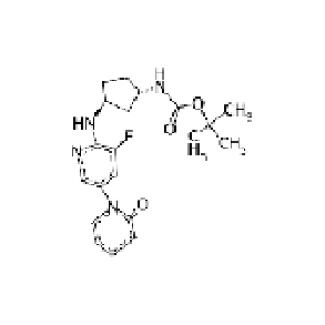 CC(C)(C)OC(=O)N[C@H]1CC[C@H](Nc2ncc(-n3ccccc3=O)cc2F)C1